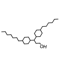 CCCCCCCC1CCC(C(CCO)C2CCC(CCCCCC)CC2)CC1